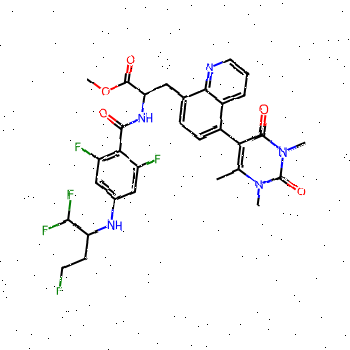 COC(=O)C(Cc1ccc(-c2c(C)n(C)c(=O)n(C)c2=O)c2cccnc12)NC(=O)c1c(F)cc(NC(CCF)C(F)F)cc1F